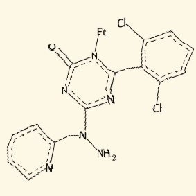 CCn1c(-c2c(Cl)cccc2Cl)nc(N(N)c2ccccn2)nc1=O